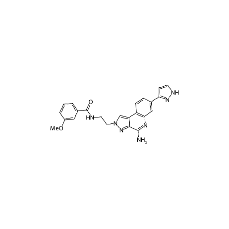 COc1cccc(C(=O)NCCn2cc3c(n2)c(N)nc2cc(-c4cc[nH]n4)ccc23)c1